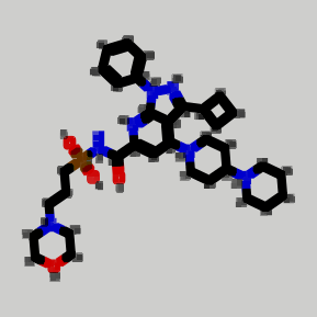 O=C(NS(=O)(=O)CCCN1CCOCC1)c1cc(N2CCC(N3CCCCC3)CC2)c2c(C3CCC3)nn(-c3ccccc3)c2n1